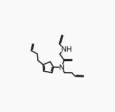 C=CCCC1=CC=C(N(CCC=C)C(=C)CNC=C)C1